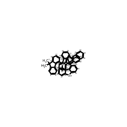 CC1(C)c2ccccc2-c2c(N(c3ccc(-c4ccccc4)cc3)c3cccc4sc5cccc(C6(c7ccccc7)c7ccccc7-c7ccccc76)c5c34)cccc21